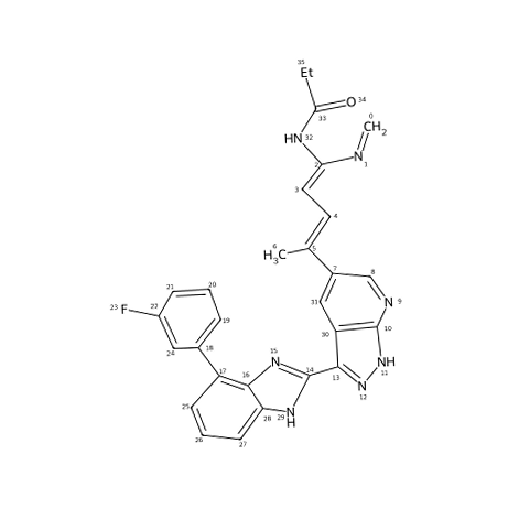 C=N/C(=C\C=C(/C)c1cnc2[nH]nc(-c3nc4c(-c5cccc(F)c5)cccc4[nH]3)c2c1)NC(=O)CC